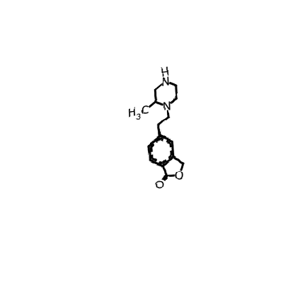 CC1CNCCN1CCc1ccc2c(c1)COC2=O